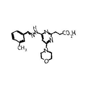 Cc1cccc(C=NNc2cc(N3CCOCC3)nc(CCC(=O)O)n2)c1